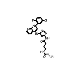 CC(C)(C)OC(=O)NCCCC(=O)Nc1cc(Nc2cc(-c3cc(Cl)ccc3F)nc3ncccc23)ncn1